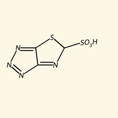 O=S(=O)(O)C1N=C2N=NN=C2S1